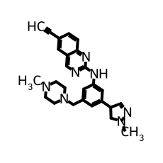 C#Cc1ccc2nc(Nc3cc(CN4CCN(C)CC4)cc(C4C=NN(C)C4)c3)ncc2c1